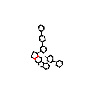 c1ccc(-c2ccc(-c3ccc(N(c4ccc(-c5ccccc5)cc4)c4cccc5oc6ccccc6c45)c(-c4ccccc4)c3)cc2)cc1